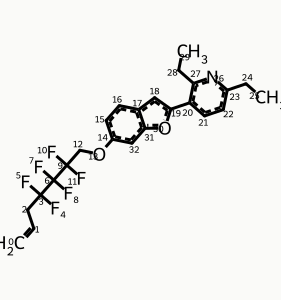 C=CCC(F)(F)C(F)(F)C(F)(F)COc1ccc2cc(-c3ccc(CC)nc3CC)oc2c1